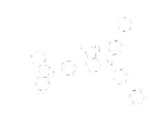 c1ccc(-c2ccc(N(c3ccc(-c4ccccc4)cc3)c3ccc(-c4ccc(-n5c6ccccc6c6ccccc65)cc4)c4nsnc34)cc2)cc1